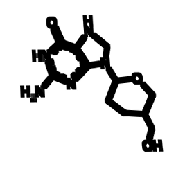 Nc1nc2c(c(=O)[nH]1)NCN2C1CCC(CO)CO1